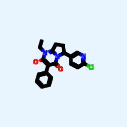 CC[n+]1c([O-])c(-c2ccccc2)c(=O)n2c1CCC2c1ccc(Cl)nc1